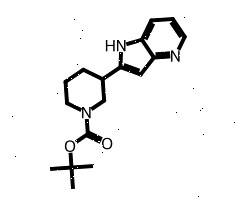 CC(C)(C)OC(=O)N1CCCC(c2cc3ncccc3[nH]2)C1